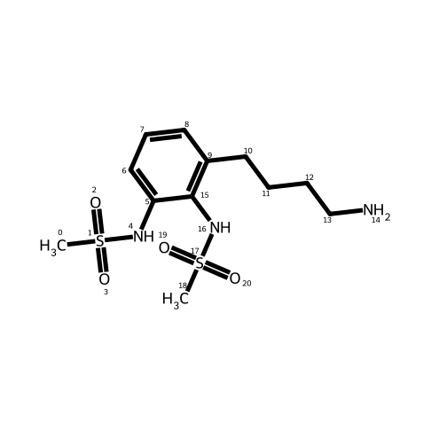 CS(=O)(=O)Nc1cccc(CCCCN)c1NS(C)(=O)=O